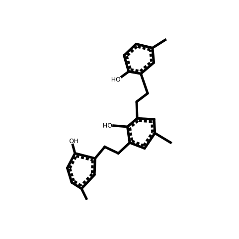 Cc1ccc(O)c(CCc2cc(C)cc(CCc3cc(C)ccc3O)c2O)c1